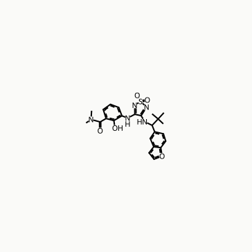 CN(C)C(=O)c1cccc(NC2=NS(=O)(=O)N=C2NC(c2ccc3occc3c2)C(C)(C)C)c1O